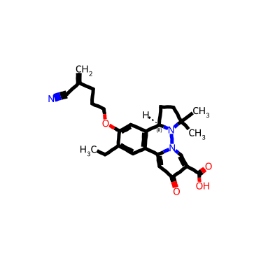 C=C(C#N)CCCOc1cc2c(cc1CC)-c1cc(=O)c(C(=O)O)cn1N1[C@@H]2CCC1(C)C